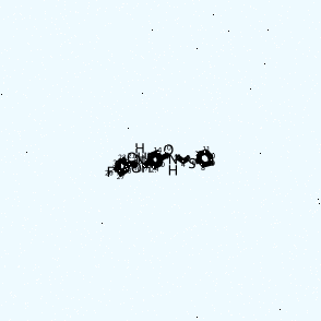 O=C(NCCCSC1CCCCC1)c1ccc(CNC(O)(O)c2ccc(F)cc2)cc1